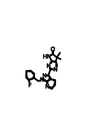 CC1(C)C(=O)Nc2nc(-c3nn(Cc4ccccc4F)c4ncccc34)ncc21